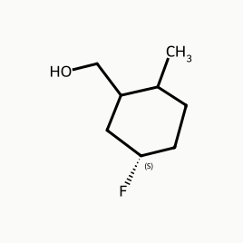 CC1CC[C@H](F)CC1CO